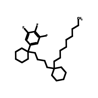 CCCCCCCCCC1(CCCCC2(c3cc(F)c(F)c(F)c3)CCCCC2)CCCCC1